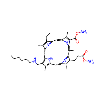 CCCCCCNCc1c(C)c2cc3nc(c(C)c4[nH]c(cc5nc(cc1[nH]2)C(C)=C5CC)c(C)c4C(=O)ON)[C@@H](CCC(=O)ON)[C@@H]3C